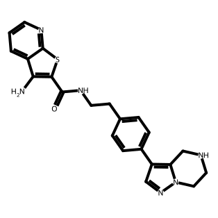 Nc1c(C(=O)NCCc2ccc(-c3cnn4c3CNCC4)cc2)sc2ncccc12